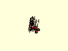 N#C/C=C\SCC1=C(C(=O)O)N2C(=O)C(NC(=O)/C(=N/OC(F)F)c3csc(NC(c4ccccc4)(c4ccccc4)c4ccccc4)n3)[C@H]2SC1